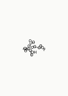 COC[C@@H](O)CO[C@@H]1CN(C(=O)OC(C)(C)C)C[C@H](OCc2cc(OC)c3ccccc3c2)[C@H]1c1ccc(OCCCOCc2cc(F)ccc2OC)cc1